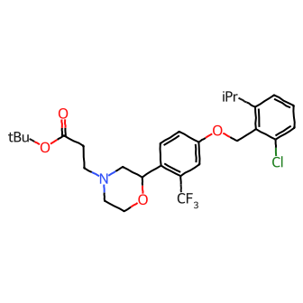 CC(C)c1cccc(Cl)c1COc1ccc(C2CN(CCC(=O)OC(C)(C)C)CCO2)c(C(F)(F)F)c1